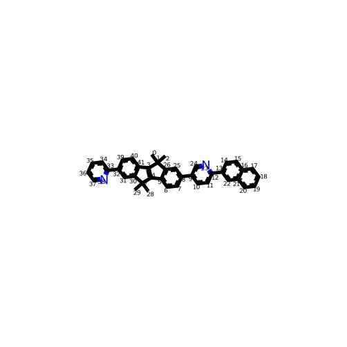 CC1(C)C2=C(c3ccc(-c4ccc(-c5ccc6ccccc6c5)nc4)cc31)C(C)(C)c1cc(-c3ccccn3)ccc12